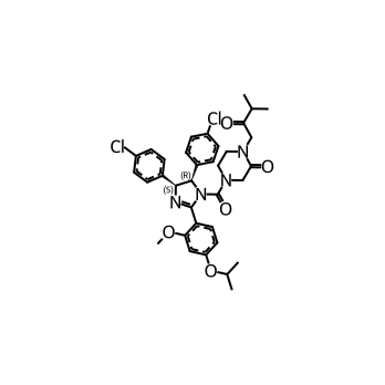 COc1cc(OC(C)C)ccc1C1=N[C@@H](c2ccc(Cl)cc2)[C@@H](c2ccc(Cl)cc2)N1C(=O)N1CCN(CC(=O)C(C)C)C(=O)C1